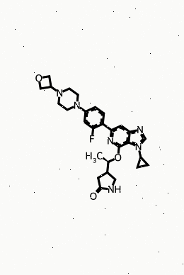 C[C@@H](Oc1nc(-c2ccc(N3CCN(C4COC4)CC3)cc2F)cc2ncn(C3CC3)c12)C1CNC(=O)C1